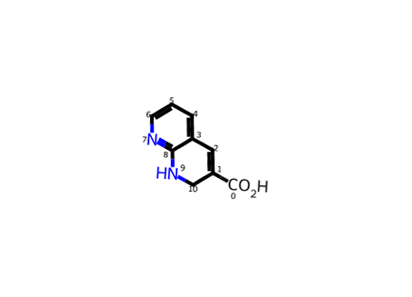 O=C(O)C1=Cc2cccnc2NC1